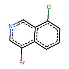 Clc1cccc2c(Br)cncc12